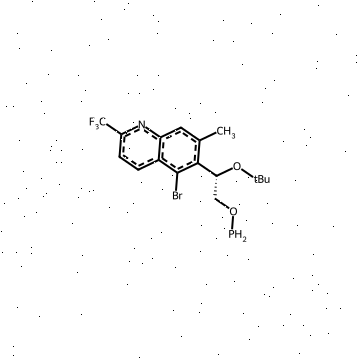 Cc1cc2nc(C(F)(F)F)ccc2c(Br)c1[C@@H](COP)OC(C)(C)C